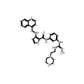 N#C/N=C(\NCCN1CCOCC1)Nc1cccc(NC(=O)c2sccc2NCc2ccnc3ccccc23)c1